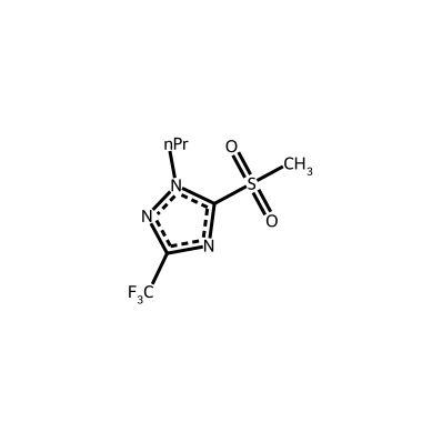 CCCn1nc(C(F)(F)F)nc1S(C)(=O)=O